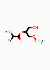 CCCCC(CC)C(=O)OC(CO)COC(=O)O